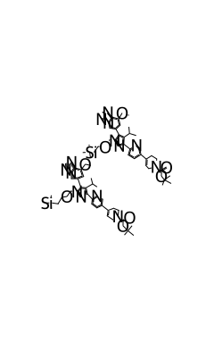 COc1cc(-c2c(C(C)C)c(-c3ccc(C4=CCN(C(=O)OC(C)(C)C)CC4)cn3)nn2COCC[Si](C)(C)C)cn2ncnc12.COc1cc(-c2c(C(C)C)c(-c3ccc(C4=CCN(C(=O)OC(C)(C)C)CC4)cn3)nn2COCC[Si](C)(C)C)cn2ncnc12